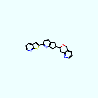 c1cnc2c(c1)COC(C1Cc3ccc(-c4cc5cccnc5s4)nc3C1)C2